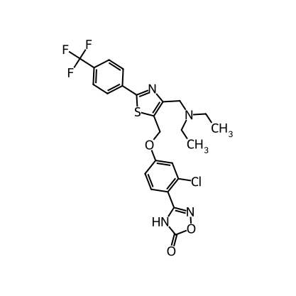 CCN(CC)Cc1nc(-c2ccc(C(F)(F)F)cc2)sc1COc1ccc(-c2noc(=O)[nH]2)c(Cl)c1